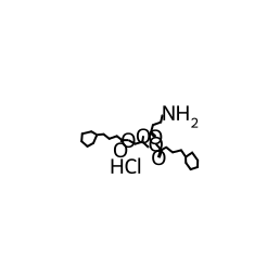 Cl.NCCCC(=O)OC(COC(=O)CCCC1CCCCC1)COC(=O)CCCC1CCCCC1